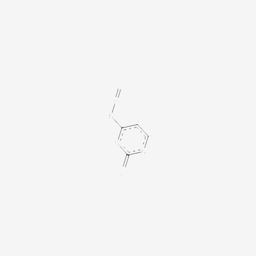 B=BNc1cc[nH]c(=O)n1